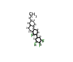 CCCC1CCC2c3ccc(-c4cc(F)c(F)c(F)c4)c(F)c3CCC2C1